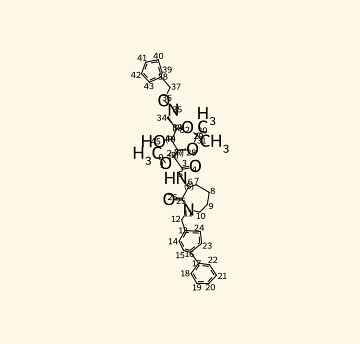 CO[C@@H](C(=O)N[C@H]1CCCCN(Cc2ccc(-c3ccccc3)cc2)C1=O)[C@@H]1OC(C)(C)O[C@H](C=NOCc2ccccc2)[C@H]1O